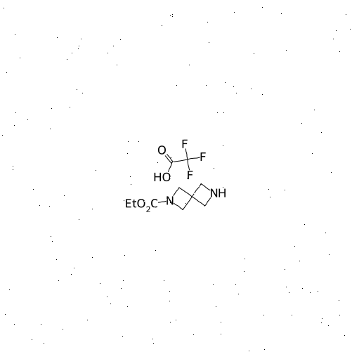 CCOC(=O)N1CC2(CNC2)C1.O=C(O)C(F)(F)F